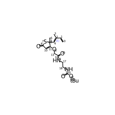 C=C/C(C)=C/[C@@]1(C)SC(=O)C=C1OCC(=O)NCCNC(=O)OC(C)(C)C